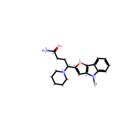 CCn1c2ccccc2c2oc(C(CCC(N)=O)N3CCCCC3)cc21